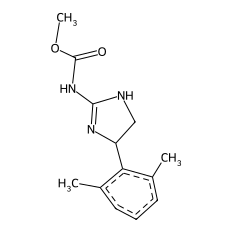 COC(=O)NC1=NC(c2c(C)cccc2C)CN1